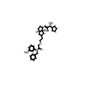 O=C(COCCC1C[C@H]2CC[C@@H](C=C(Br)[C@H](O)C3CCCC3)[C@@H]2C1)N(Cc1ccccc1)c1cccc(O)c1